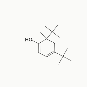 CC(C)(C)C1=CC=C(O)C(C)(C(C)(C)C)C1